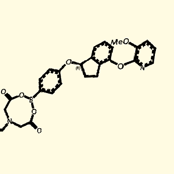 COc1cccnc1Oc1cccc2c1CC[C@H]2Oc1ccc(B2OC(=O)CN(C)CC(=O)O2)cc1